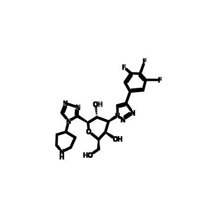 OC[C@H]1O[C@@H](c2nncn2C2CCNCC2)[C@H](O)[C@@H](n2cc(-c3cc(F)c(F)c(F)c3)nn2)[C@H]1O